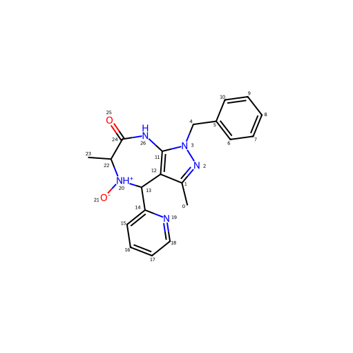 Cc1nn(Cc2ccccc2)c2c1C(c1ccccn1)[NH+]([O-])C(C)C(=O)N2